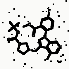 COC(=O)c1cc(F)ccc1-n1cc(C[C@@H]2CCN(C(=O)OC(C)(C)C)C2)c2c(C)cncc21